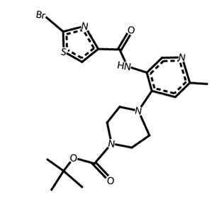 Cc1cc(N2CCN(C(=O)OC(C)(C)C)CC2)c(NC(=O)c2csc(Br)n2)cn1